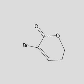 O=C1OCCC=C1Br